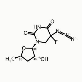 C[C@@H]1C[C@@H](O)[C@H](N2CC(F)(N=[N+]=[N-])C(=O)NC2=O)O1